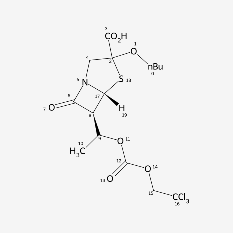 CCCCOC1(C(=O)O)CN2C(=O)[C@H](C(C)OC(=O)OCC(Cl)(Cl)Cl)[C@H]2S1